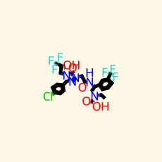 CCN(CC(NC(=O)Cn1nc(-c2ccc(Cl)cc2)n(C[C@H](O)C(F)(F)F)c1=O)c1cccc(C(F)(F)F)c1)C(=O)O